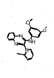 COc1cc(Nc2nc3ccccc3nc2N2C=CC=CC2C)cc(OC)c1